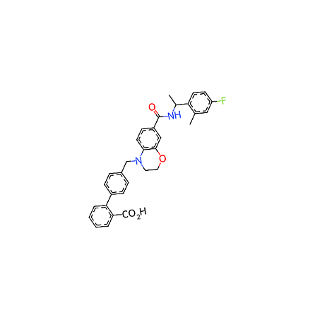 Cc1cc(F)ccc1C(C)NC(=O)c1ccc2c(c1)OCCN2Cc1ccc(-c2ccccc2C(=O)O)cc1